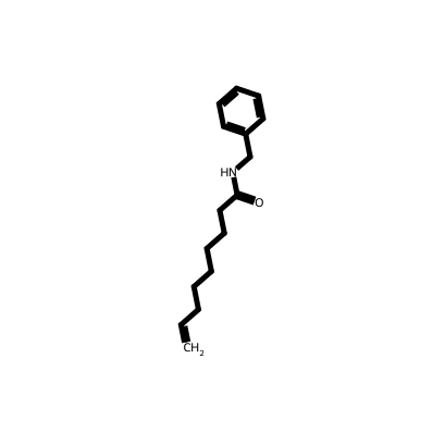 C=CCCCCCCC(=O)NCc1ccccc1